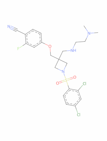 CN(C)CCNCC1(COc2ccc(C#N)c(F)c2)CN(S(=O)(=O)c2ccc(Cl)cc2Cl)C1